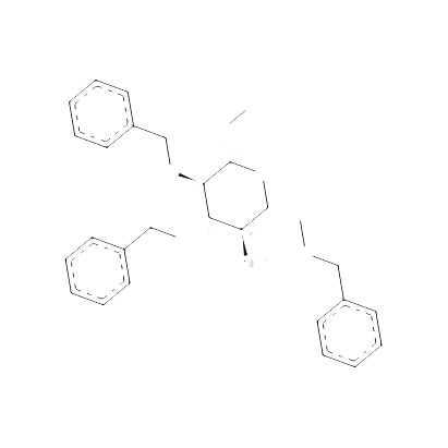 CCS[C@@H]1O[C@H](COCc2ccccc2)[C@@H](NC(C)=O)[C@H](OCc2ccccc2)[C@H]1OCc1ccccc1